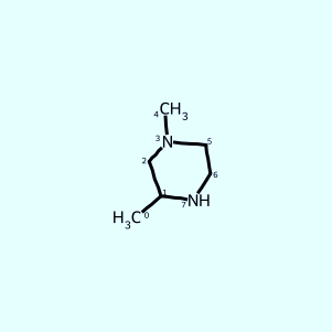 CC1CN(C)CCN1